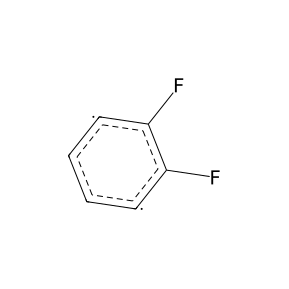 Fc1[c]cc[c]c1F